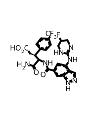 NC(=O)C(NC(=O)c1cc(NC2=NCC(F)CN2)c2cn[nH]c2c1)[C@@H](CC(=O)O)c1ccc(C(F)(F)F)cc1